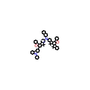 C=C1/C(=C\C(=C/C)N(c2ccc3c(c2)C(C)(C)c2c4c(c5oc6ccccc6c5c2-3)-c2ccccc2C4(C)C)c2ccc3ccccc3c2)C(C)(C)c2cc(-c3ccc4c(c3)c3ccccc3n4-c3ccccc3)c3oc4ccccc4c3c21